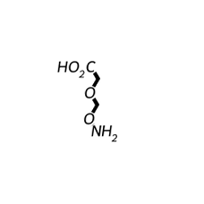 NOCOCC(=O)O